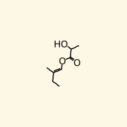 CCC(C)=COC(=O)C(C)O